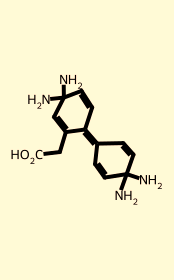 NC1(N)C=CC(=C2C=CC(N)(N)C=C2CC(=O)O)C=C1